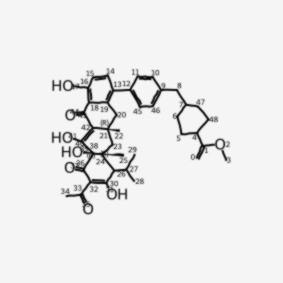 C=C(OC)C1CCC(Cc2ccc(-c3ccc(O)c4c3C[C@]3(C)C[C@]5(C)C(C(C)C)C(O)=C(C(C)=O)C(=O)[C@]5(O)C(O)=C3C4=O)cc2)CC1